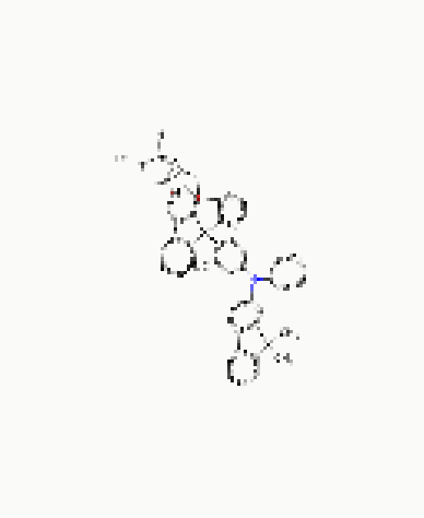 CC[C@H]1C[C@H]2C[C@@H]1CC2CCc1ccccc1C1(c2ccc(N(c3ccccc3)c3ccc4c(c3)C(C)(C)c3ccccc3-4)cc2C)c2ccccc2-c2ccccc21